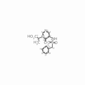 CC(C(=O)O)n1cncc(NS(=O)(=O)Cc2ccccc2)c1=O